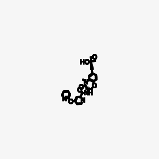 CN1C(=O)[C@@H](NC(=O)c2cc(Oc3ccccn3)ccn2)COc2ccc(C#CC3(O)COC3)cc21